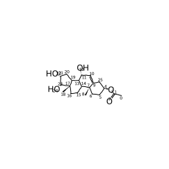 CC(=O)O[C@H]1CC[C@@]2(C)C(=C[C@@H](O)C3C2CC[C@@]2(C)C3C[C@@H](O)[C@@H]2O)C1